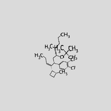 CC/C=C(\C(C/C(OC(C)(C)C)=C(\C)CCC)c1ccc(Cl)c(Cl)c1)[C@H]1CCC1C